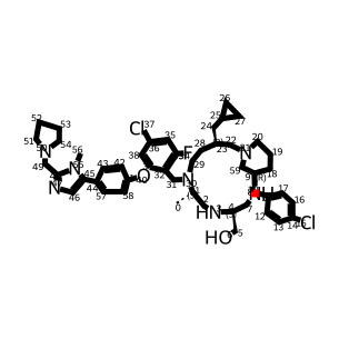 C[C@H]1CN[C@H](CO)CN[C@@]2(Cc3ccc(Cl)cc3)CCCN(C[C@H](CC3CC3)CCN1Cc1c(F)cc(Cl)cc1Oc1ccc(-c3cnc(CN4CCCC4)n3C)cc1)C2